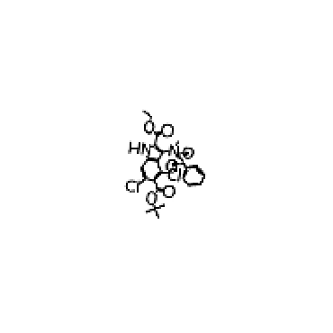 CCOC(=O)c1[nH]c2cc(Cl)c(C(=O)OC(C)(C)C)c(Cl)c2c1N(C)S(=O)(=O)c1ccccc1